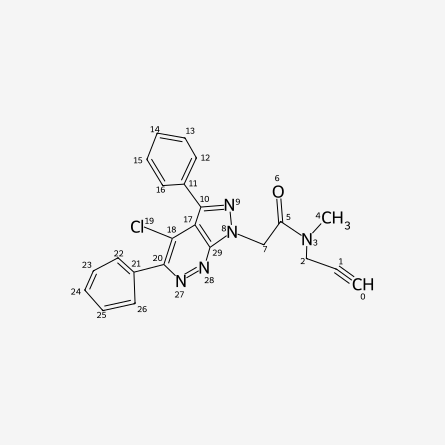 C#CCN(C)C(=O)Cn1nc(-c2ccccc2)c2c(Cl)c(-c3ccccc3)nnc21